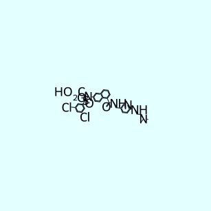 CN(C)CCNc1ccc(CNC(=O)c2cccc3cc(N(CC(=O)O)S(=O)(=O)c4cc(Cl)cc(Cl)c4)ccc23)cn1